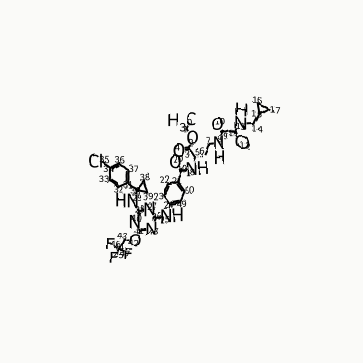 CCOC(=O)[C@H](CCNC(=O)C(=O)NCC1CC1)NC(=O)c1ccc(Nc2nc(NC3(c4ccc(Cl)cc4)CC3)nc(OCC(F)(F)F)n2)cc1